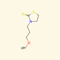 CCCOCCCN1CCSC1=S